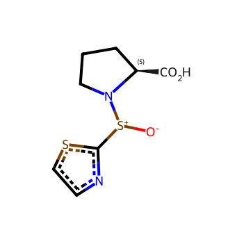 O=C(O)[C@@H]1CCCN1[S+]([O-])c1nccs1